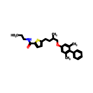 Cc1cc(OCC(C)CCc2ccc(C(=O)NCCC(=O)O)s2)cc(C)c1-c1ccccc1